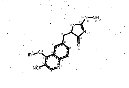 CC(C)Oc1c(C#N)cnc2ccc(CC3SC(NN)=NC3=O)cc12